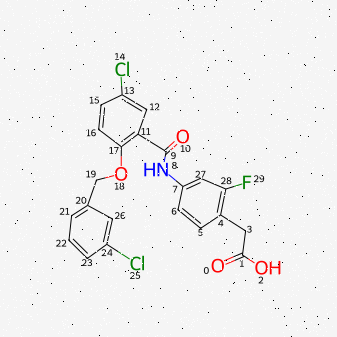 O=C(O)Cc1ccc(NC(=O)c2cc(Cl)ccc2OCc2cccc(Cl)c2)cc1F